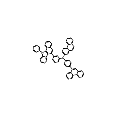 c1ccc(-n2c3ccccc3c3c(-c4cccc(N(c5ccc(-c6cc7ccccc7c7ccccc67)cc5)c5ccc6c(ccc7ccccc76)c5)c4)cc4ccccc4c32)cc1